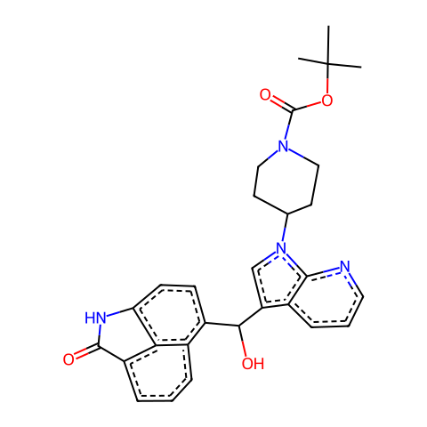 CC(C)(C)OC(=O)N1CCC(n2cc(C(O)c3ccc4c5c(cccc35)C(=O)N4)c3cccnc32)CC1